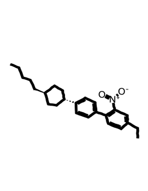 CCCCC[C@H]1CC[C@H](c2ccc(-c3ccc(CC)cc3[N+](=O)[O-])cc2)CC1